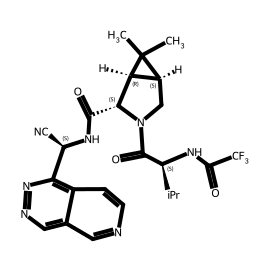 CC(C)[C@H](NC(=O)C(F)(F)F)C(=O)N1C[C@H]2[C@@H]([C@H]1C(=O)N[C@H](C#N)c1nncc3cnccc13)C2(C)C